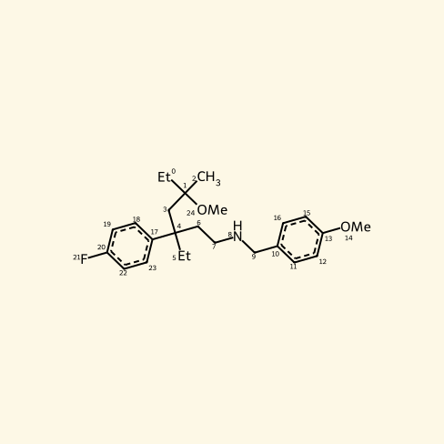 CCC(C)(CC(CC)(CCNCc1ccc(OC)cc1)c1ccc(F)cc1)OC